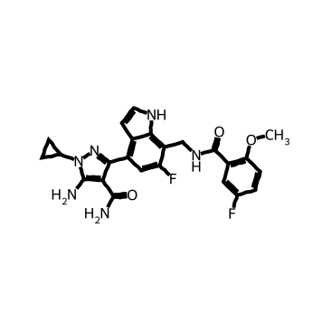 COc1ccc(F)cc1C(=O)NCc1c(F)cc(-c2nn(C3CC3)c(N)c2C(N)=O)c2cc[nH]c12